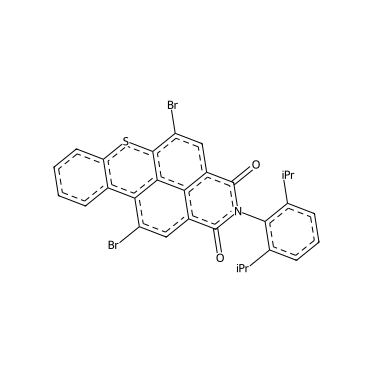 CC(C)c1cccc(C(C)C)c1-n1c(=O)c2cc(Br)c3sc4ccccc4c4c(Br)cc(c1=O)c2c34